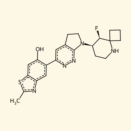 Cc1nc2cc(-c3cc4c(nn3)N([C@@H]3CCNC5(CCC5)[C@@H]3F)CC4)c(O)cc2s1